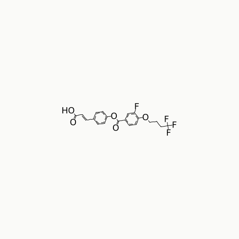 O=C(O)/C=C/c1ccc(OC(=O)c2ccc(OCCCC(F)(F)F)c(F)c2)cc1